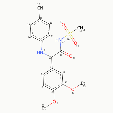 CCOc1ccc(C(Nc2ccc(C#N)cc2)C(=O)NS(C)(=O)=O)cc1OCC